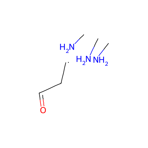 CN.CN.CN.[CH2]CC=O